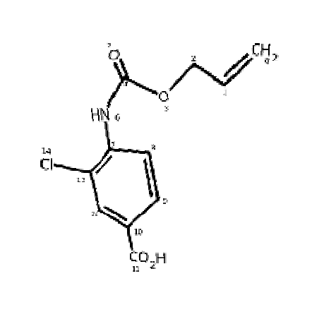 C=CCOC(=O)Nc1ccc(C(=O)O)cc1Cl